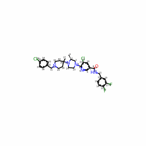 C[C@H]1CN(c2ncc(C(=O)NCc3ccc(F)c(F)c3)cc2Cl)CCN1C1(C)CCN(Cc2ccc(Cl)cc2)CC1